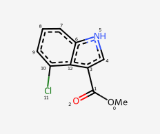 COC(=O)c1c[nH]c2cccc(Cl)c12